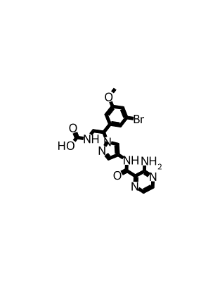 COc1cc(Br)cc(C(CNC(=O)O)n2cc(NC(=O)c3nccnc3N)cn2)c1